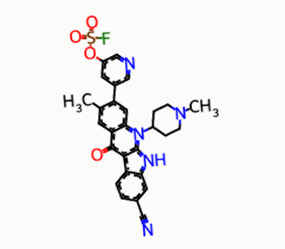 Cc1cc2c(=O)c3c4ccc(C#N)cc4[nH]c3n(C3CCN(C)CC3)c2cc1-c1cncc(OS(=O)(=O)F)c1